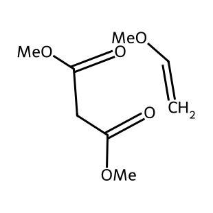 C=COC.COC(=O)CC(=O)OC